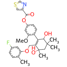 COc1cc(OC(=O)c2cscn2)ccc1C1=C(COc2cc(F)ccc2C)C(C)(O)CC(C)(C)C1O